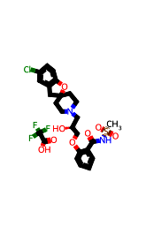 CS(=O)(=O)NC(=O)c1ccccc1OC[C@@H](O)CN1CCC2(CC1)Cc1cc(Cl)ccc1O2.O=C(O)C(F)(F)F